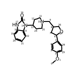 COc1ccc(C2CC(CN3CCC(n4c(=O)[nH]c5ccccc54)CC3)CO2)cc1